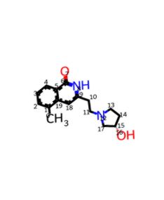 Cc1cccc2c(=O)[nH]c(CCN3CC[C@H](O)C3)cc12